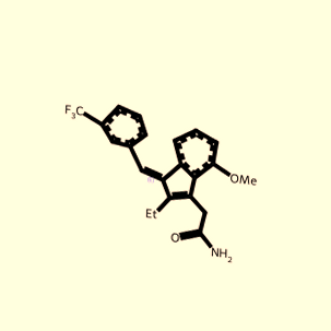 CCC1=C(CC(N)=O)c2c(OC)cccc2/C1=C\c1cccc(C(F)(F)F)c1